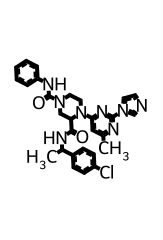 Cc1cc(N2CCN(C(=O)Nc3ccccc3)CC2C(=O)NC(C)c2ccc(Cl)cc2)nc(-n2ccnc2)n1